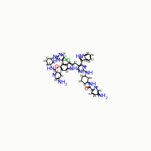 Nc1ccc(C(=O)N[C@H]2CCC[C@@H](Nc3ncc(Cl)c(-c4cccc5[nH]c(Cc6cnc(N[C@@H]7CCC[C@H](NC(=O)c8ccc(N)cn8)C7)nc6-c6c[nH]c7ccccc67)cc45)n3)C2)nc1